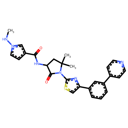 CNn1ccc(C(=O)NC2CC(C)(C)N(c3nc(-c4cccc(-c5ccncc5)c4)cs3)C2=O)c1